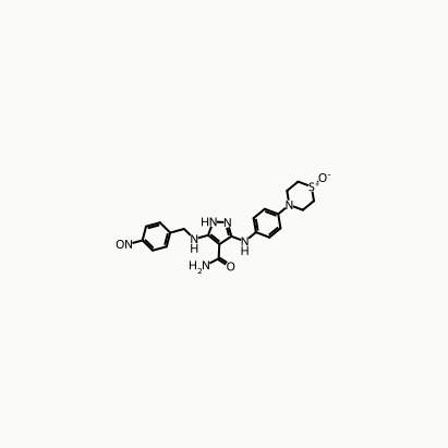 NC(=O)c1c(Nc2ccc(N3CC[S+]([O-])CC3)cc2)n[nH]c1NCc1ccc(N=O)cc1